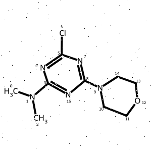 CN(C)c1nc(Cl)nc(N2CCOCC2)n1